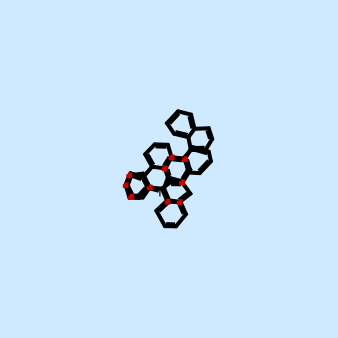 c1ccc(-c2ccccc2-c2c(-c3ccccc3)cccc2-c2ccccc2N(c2ccccc2)c2ccc(-c3cccc4ccccc34)cc2)cc1